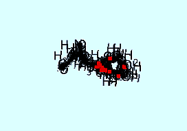 CC[C@H](C)[C@@H]1NC(=O)CNC(=O)[C@@H]2Cc3c([nH]c4c(CSCCNC(=O)OCc5ccc(NC(=O)[C@H](CCCNC(N)=O)NC(=O)[C@@H](NC(=O)CCCCCC6C(=O)C=CC6=O)C(C)C)cc5)c(OC)ccc34)[S+]([O-])C[C@H](NC(=O)CNC1=O)C(=O)N[C@@H](CC(N)=O)C(=O)N1C[C@H](O)C[C@H]1C(=O)N[C@@H]([C@@H](C)[C@@H](O)CO)C(=O)N2